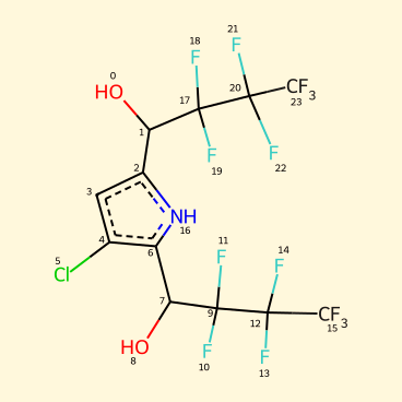 OC(c1cc(Cl)c(C(O)C(F)(F)C(F)(F)C(F)(F)F)[nH]1)C(F)(F)C(F)(F)C(F)(F)F